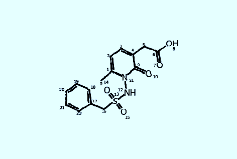 Cc1ccc(CC(=O)O)c(=O)n1NS(=O)(=O)Cc1ccccc1